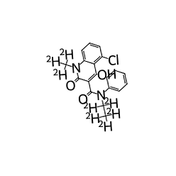 [2H]C([2H])([2H])n1c(=O)c(C(=O)N(c2ccccc2)C([2H])([2H])C([2H])([2H])[2H])c(O)c2c(Cl)cccc21